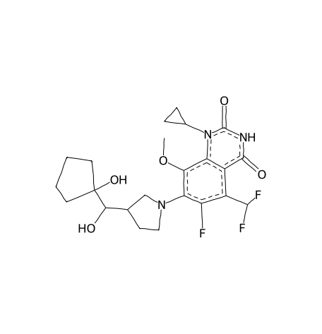 COc1c(N2CCC(C(O)C3(O)CCCC3)C2)c(F)c(C(F)F)c2c(=O)[nH]c(=O)n(C3CC3)c12